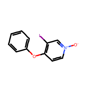 [O-][n+]1ccc(Oc2ccccc2)c(I)c1